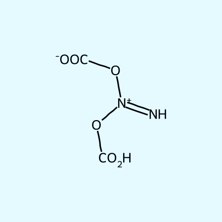 N=[N+](OC(=O)[O-])OC(=O)O